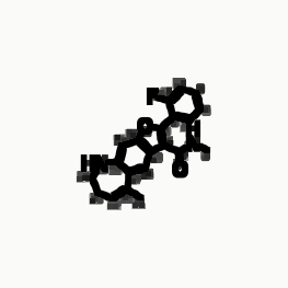 CNC(=O)c1c(-c2ccccc2F)oc2cc3c(cc12)C(C)=CCCN3